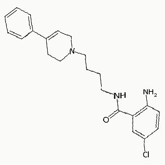 Nc1ccc(Cl)cc1C(=O)NCCCCN1CC=C(c2ccccc2)CC1